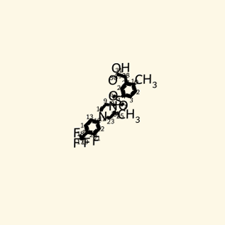 Cc1ccc(S(=O)(=O)N2CCN(c3ccc(C(F)(F)F)c(F)c3)C[C@@H]2C)cc1CC(=O)O